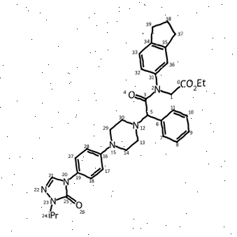 CCOC(=O)CN(C(=O)C(c1ccccc1)N1CCN(c2ccc(-n3cnn(C(C)C)c3=O)cc2)CC1)c1ccc2c(c1)CCC2